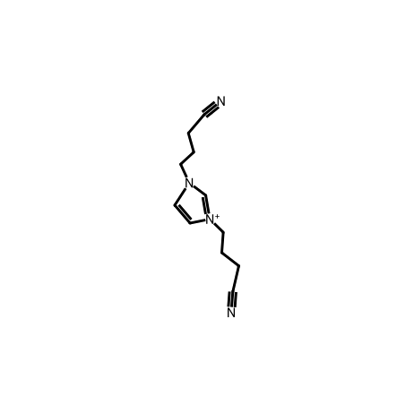 N#CCCCn1cc[n+](CCCC#N)c1